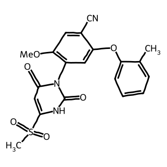 COc1cc(C#N)c(Oc2ccccc2C)cc1-n1c(=O)cc(S(C)(=O)=O)[nH]c1=O